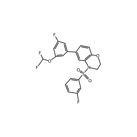 O=S(=O)(c1cccc(F)c1)N1CCOc2ccc(-c3cc(F)cc(OC(F)F)c3)cc21